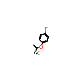 CC(=O)C(C)Oc1ccc(F)cc1